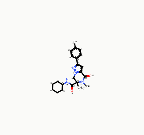 CCc1ccc(-c2cc3n(n2)CC(C)(C(=O)NC2CCCCC2)N(C(C)CC)C3=O)cc1